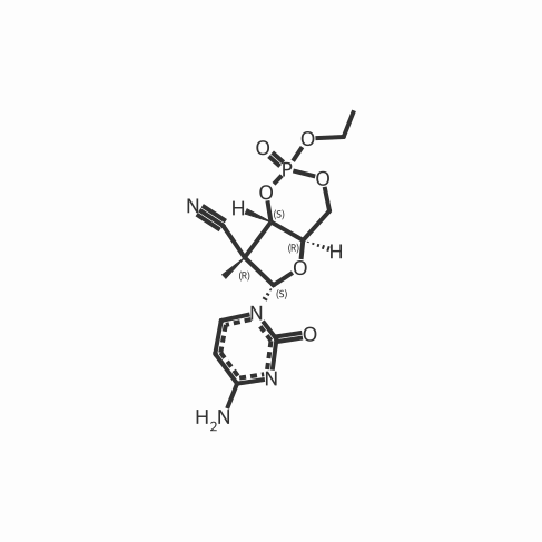 CCOP1(=O)OC[C@H]2O[C@H](n3ccc(N)nc3=O)[C@](C)(C#N)[C@@H]2O1